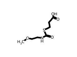 COCCNC(=O)SCCC(=O)O